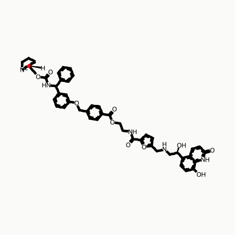 O=C(NC(c1ccccc1)c1cccc(OCc2ccc(C(=O)OCCNC(=O)c3ccc(CNC[C@@H](O)c4ccc(O)c5[nH]c(=O)ccc45)o3)cc2)c1)O[C@H]1CN2CCC1CC2